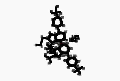 CCCC1=Cc2c(-c3ccc(C(C)(C)C)cc3)ccc(C)c2[CH]1[Zr]([CH3])([CH3])(=[SiH2])[CH]1C(C(C)C)=Cc2c(-c3ccc(C(C)(C)C)cc3)cccc21.Cl.Cl